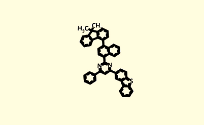 CC1(C)c2ccccc2-c2c(-c3ccc(-c4nc(-c5ccccc5)cc(-c5ccc6sc7ccccc7c6c5)n4)c4ccccc34)cccc21